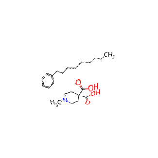 CCCCCCCCCc1ccccc1.CN1CCC(C(=O)O)(C(=O)O)CC1